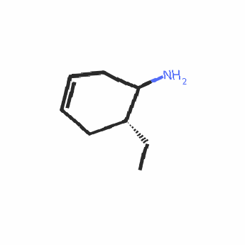 CC[C@@H]1CC=CCC1N